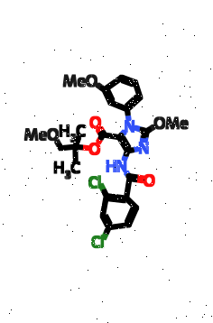 COCC(C)(C)OC(=O)c1c(NC(=O)c2ccc(Cl)cc2Cl)nc(OC)n1-c1cccc(OC)c1